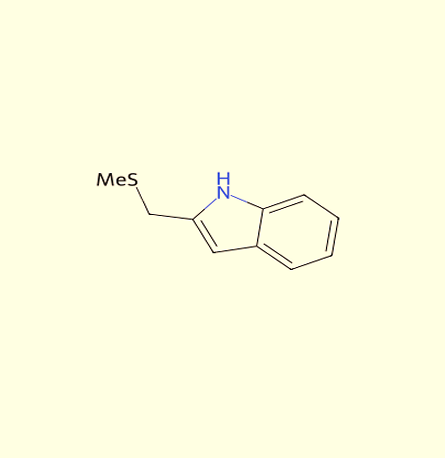 CSCc1cc2ccccc2[nH]1